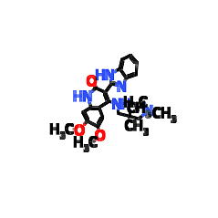 COc1cc2[nH]c(=O)c(-c3nc4ccccc4[nH]3)c(NCC(C)(C)CN(C)C)c2cc1OC